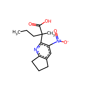 CCCC(C)(C(=O)O)c1nc2c(cc1[N+](=O)[O-])CCC2